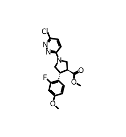 COC(=O)[C@@H]1CN(c2ccc(Cl)nn2)C[C@H]1c1ccc(OC)cc1F